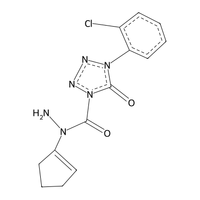 NN(C(=O)n1nnn(-c2ccccc2Cl)c1=O)C1=CCCC1